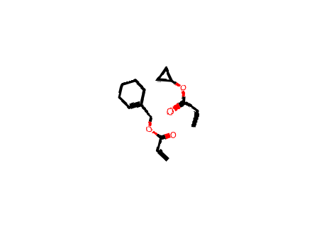 C=CC(=O)OC1CC1.C=CC(=O)OCC1=CCCCC1